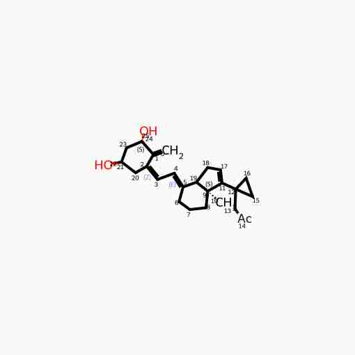 C=C1/C(=C\C=C2/CCC[C@]3(C)C(C4(CC(C)=O)CC4)=CCC23)CC(O)C[C@@H]1O